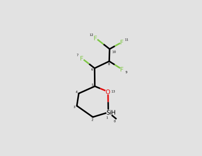 C[SiH]1CCCC(C(F)C(F)C(F)F)O1